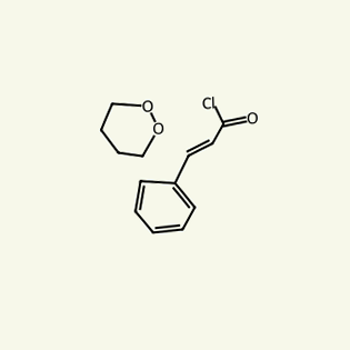 C1CCOOC1.O=C(Cl)C=Cc1ccccc1